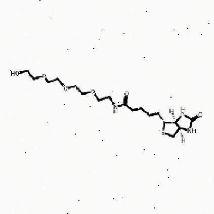 O=C(CCCC[C@@H]1SC[C@@H]2NC(=O)N[C@@H]21)NCCOCCOCCOCCO